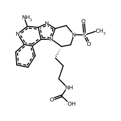 CS(=O)(=O)N1Cc2nc3c(N)nc4ccccc4c3n2[C@@H](CCCNC(=O)O)C1